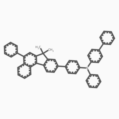 CC1(C)c2cc(-c3ccc(N(c4ccccc4)c4ccc(-c5ccccc5)cc4)cc3)ccc2-c2c1cc(-c1ccccc1)c1ccccc21